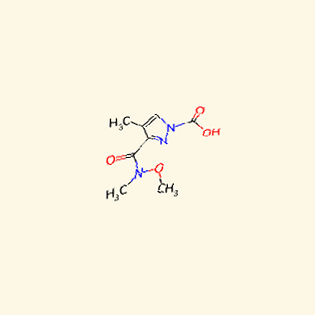 CON(C)C(=O)c1nn(C(=O)O)cc1C